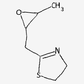 CC1OC1CC1=NCCS1